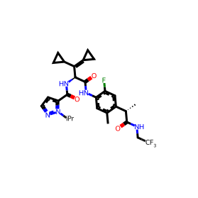 Cc1cc(NC(=O)[C@@H](NC(=O)c2ccnn2C(C)C)C(=C2CC2)C2CC2)c(F)cc1[C@H](C)C(=O)NCC(F)(F)F